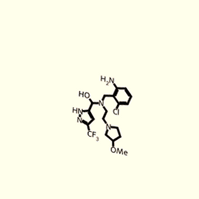 COC1CCN(CCN(Cc2c(N)cccc2Cl)C(O)c2cc(C(F)(F)F)n[nH]2)C1